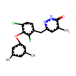 Cc1cc(Cc2ccc(Cl)c(Oc3cc(C#N)cc(C#N)c3)c2F)n[nH]c1=O